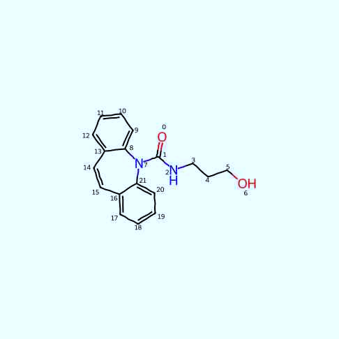 O=C(NCCCO)N1c2ccccc2C=Cc2ccccc21